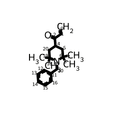 C=CC(=O)C1CC(C)(C)N(Cc2ccccc2)C(C)(C)C1